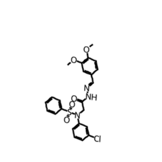 COc1ccc(C=NNC(=O)CN(c2cccc(Cl)c2)S(=O)(=O)c2ccccc2)cc1OC